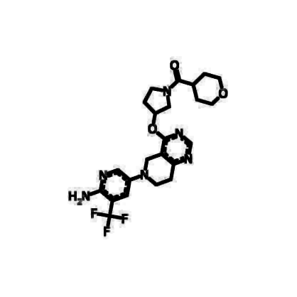 Nc1ncc(N2CCc3ncnc(OC4CCN(C(=O)C5CCOCC5)C4)c3C2)cc1C(F)(F)F